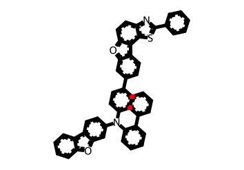 c1ccc(-c2nc3ccc4oc5cc(-c6ccc(N(c7ccc8c(c7)oc7ccccc78)c7ccccc7-c7ccccc7)cc6)ccc5c4c3s2)cc1